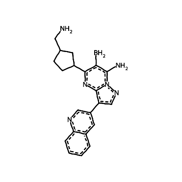 Bc1c(C2CCC(CN)C2)nc2c(-c3cnc4ccccc4c3)cnn2c1N